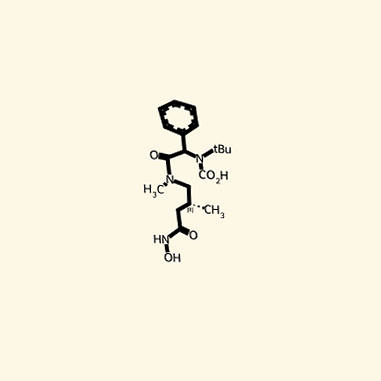 C[C@H](CC(=O)NO)CN(C)C(=O)C(c1ccccc1)N(C(=O)O)C(C)(C)C